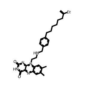 C=C(CC)CCCCCCc1ccc(CNCCn2c3nc(=O)[nH]c(=O)c-3nc3cc(C)c(C)cc32)cc1